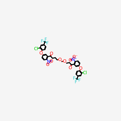 O=C(CCCOCOCCC(=O)c1cc(Oc2ccc(C(F)(F)F)cc2Cl)ccc1[N+](=O)[O-])c1cc(Oc2ccc(C(F)(F)F)cc2Cl)ccc1[N+](=O)[O-]